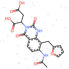 CC(=O)Nc1ccc2c(=O)n(C(CC(=O)O)C(=O)O)c(=O)[nH]c2c1Cc1ccco1